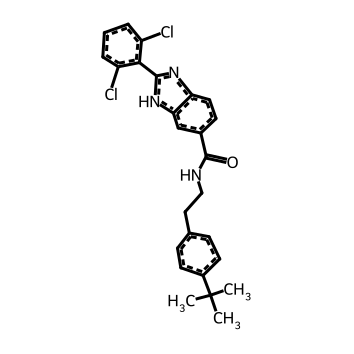 CC(C)(C)c1ccc(CCNC(=O)c2ccc3nc(-c4c(Cl)cccc4Cl)[nH]c3c2)cc1